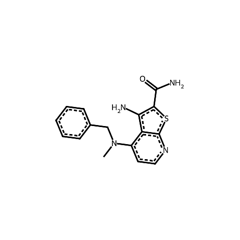 CN(Cc1ccccc1)c1ccnc2sc(C(N)=O)c(N)c12